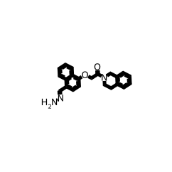 NN=Cc1ccc(OCC(=O)N2CCc3ccccc3C2)c2ccccc12